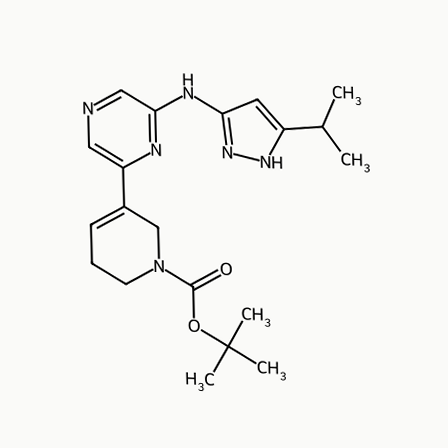 CC(C)c1cc(Nc2cncc(C3=CCCN(C(=O)OC(C)(C)C)C3)n2)n[nH]1